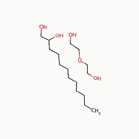 CCCCCCCCCCC(O)CO.OCCOCCO